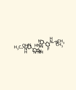 CCC(O)Nc1cncc(-c2cnc3[nH]nc(-c4nc5c(-c6cc(F)cc(NCCN(C)C)c6)ccnc5[nH]4)c3c2)c1